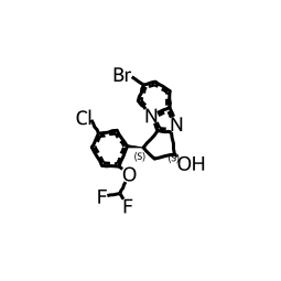 O[C@H]1C[C@@H](c2cc(Cl)ccc2OC(F)F)c2c1nc1ccc(Br)cn21